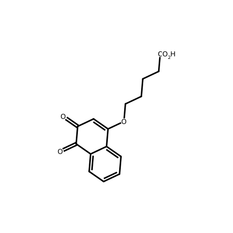 O=C(O)CCCCOC1=CC(=O)C(=O)c2ccccc21